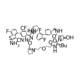 C[C@H](NC(=O)[C@@H]1C[C@@H](O)CN1C(=O)[C@@H](NC(=O)CCOCCCN1CCC[C@H]1COc1nc(N2CC3CCC(C2)N3)c2cc(C(F)(F)F)c(-c3ccc(F)c4sc(N)c(C#N)c34)cc2n1)C(C)(C)C)c1ccc(-c2c(F)cccc2F)cc1